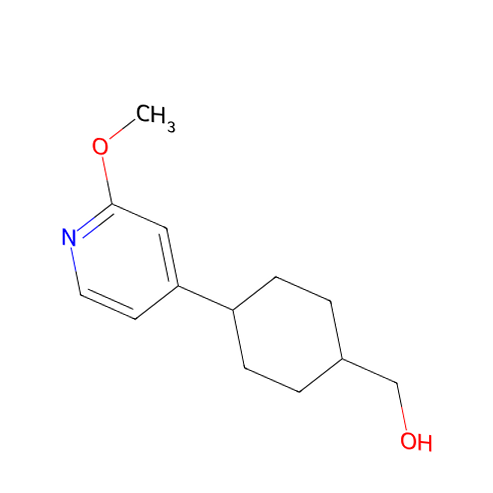 COc1cc(C2CCC(CO)CC2)ccn1